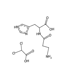 NCCC(=O)NC(Cc1c[nH]cn1)C(=O)O.O=C(O)C(Cl)Cl